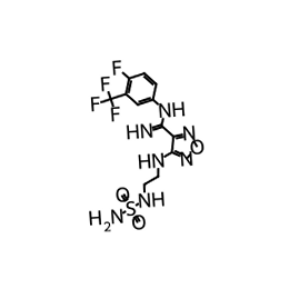 N=C(Nc1ccc(F)c(C(F)(F)F)c1)c1nonc1NCCNS(N)(=O)=O